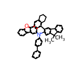 CC1(C)c2ccccc2-c2cc(-c3cccc4c3CCCC4)c(N(c3ccc(-c4ccccc4)cc3)c3ccc4oc5ccccc5c4c3)cc21